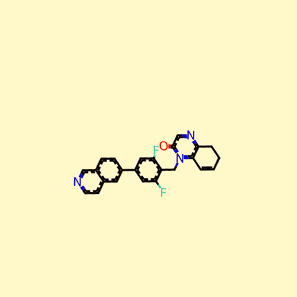 O=c1cnc2c(n1Cc1c(F)cc(-c3ccc4cnccc4c3)cc1F)C=CCC2